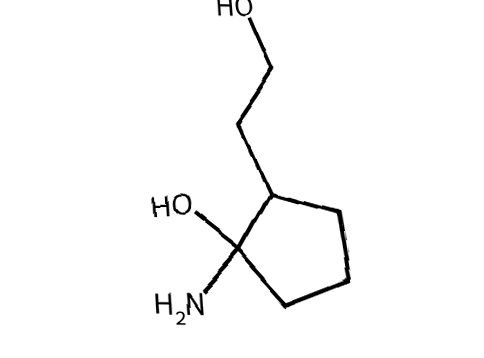 NC1(O)CCCC1CCO